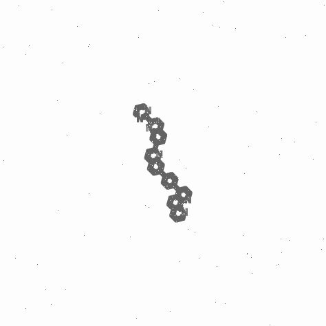 c1cnc(-c2ccc3ccc(-c4ccc5ccc(-c6ccc(-c7ccnc8c7ccc7cccnc78)cc6)cc5n4)cc3n2)nc1